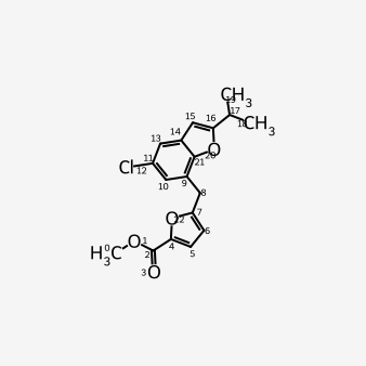 COC(=O)c1ccc(Cc2cc(Cl)cc3cc(C(C)C)oc23)o1